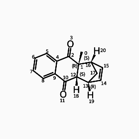 C[C@]12C(=O)c3ccccc3C(=O)[C@H]1[C@H]1C=C[C@@H]2C1